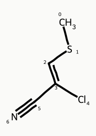 CSC=C(Cl)C#N